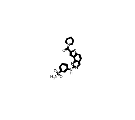 NS(=O)(=O)c1cccc(Nc2ncc3ccc4sc(C(=O)N5CCCCC5)cc4c3n2)c1